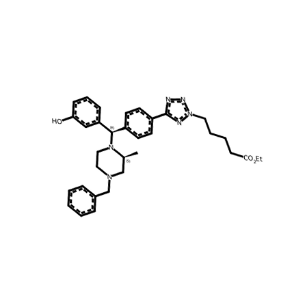 CCOC(=O)CCCCn1nnc(-c2ccc([C@H](c3cccc(O)c3)N3CCN(Cc4ccccc4)C[C@@H]3C)cc2)n1